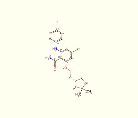 CC1(C)OC[C@@H](CCOc2cc(F)cc(Nc3ccc(I)cc3)c2C(N)=O)O1